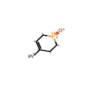 CC(C)C1=CC[PH](=O)CC1